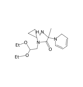 CCOC(CN(C(=O)C(C)(N)N1C=CC=CC1)C1CC1)OCC